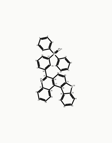 O=P(c1ccccc1)(c1ccccc1)c1cccc(-c2nc3ccccc3c3c2ccc2sc4ccccc4c23)c1